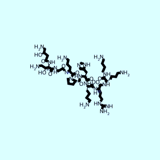 N=C(N)NCC/C=C(\NC(=O)[C@H](CCCCN)NC(=O)[C@H](Cc1cnc[nH]1)NC(=O)[C@@H]1CCCN1C(=O)/C(CCCN)=N/C(=O)CNC(=O)[C@H](NC(=O)C[C@@H](O)CN)[C@H](O)CN)C(=O)N[C@@H](CCCCN)C(=O)NCCCCN